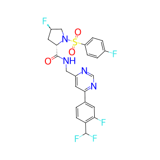 O=C(NCc1cc(-c2ccc(C(F)F)c(F)c2)ncn1)[C@@H]1C[C@@H](F)CN1S(=O)(=O)c1ccc(F)cc1